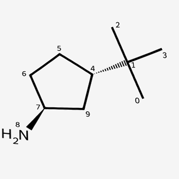 CC(C)(C)[C@H]1CC[C@H](N)C1